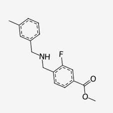 COC(=O)c1ccc(CNCc2cccc(C)c2)c(F)c1